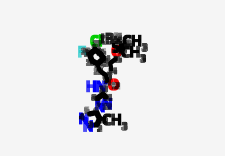 Cc1cnncc1-n1cc(NC(=O)[C@@H](CCCO[Si](C)(C)C(C)(C)C)Cc2ccc(Cl)c(F)c2)cn1